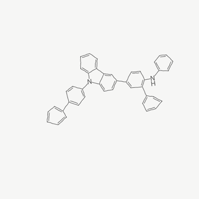 c1ccc(Nc2ccc(-c3ccc4c(c3)c3ccccc3n4-c3ccc(-c4ccccc4)cc3)cc2-c2ccccc2)cc1